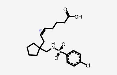 O=C(O)CCC/C=C\CC1(CNS(=O)(=O)c2ccc(Cl)cc2)CCCC1